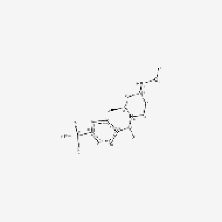 COBN1CCN(C(C)c2ccc(C(F)(F)F)cc2)[C@@H](C)C1